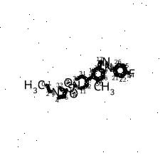 CCCn1ccc(S(=O)(=O)N2CC=C(c3cc4cnn(-c5ccc(F)cc5)c4cc3C)CC2)c1